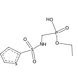 CCOP(=O)(O)CNS(=O)(=O)c1cccs1